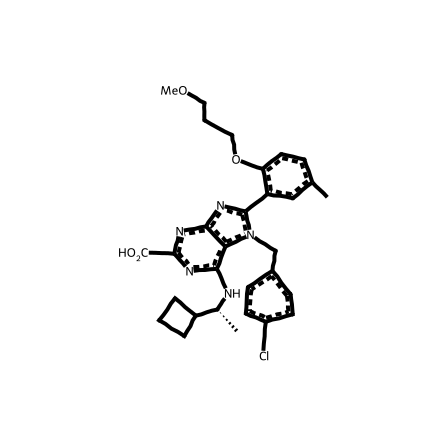 COCCCOc1ccc(C)cc1-c1nc2nc(C(=O)O)nc(N[C@H](C)C3CCC3)c2n1Cc1ccc(Cl)cc1